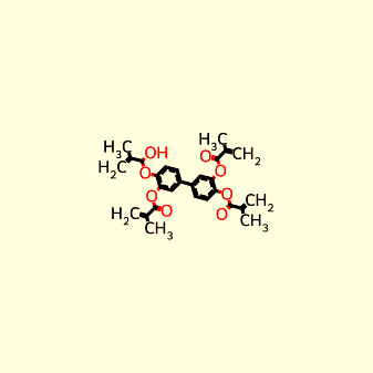 C=C(C)C(=O)Oc1ccc(-c2ccc(OC(O)C(=C)C)c(OC(=O)C(=C)C)c2)cc1OC(=O)C(=C)C